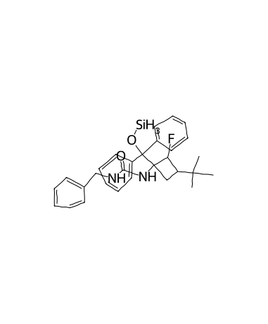 CC(C)(C)C1CC(NC(=O)NCc2ccccc2)(C(O[SiH3])(c2ccccc2)c2ccccc2)C1F